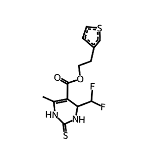 CC1=C(C(=O)OCCc2ccsc2)C(C(F)F)NC(=S)N1